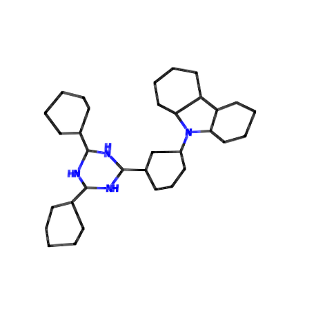 C1CCC(C2NC(C3CCCCC3)NC(C3CCCC(N4C5CCCCC5C5CCCCC54)C3)N2)CC1